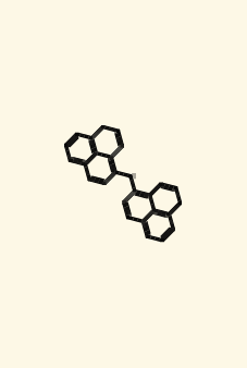 [C](c1ccc2cccc3c2c1C=CC3)c1ccc2cccc3c2c1C=CC3